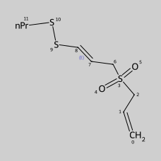 C=CCS(=O)(=O)C/C=C/SSCCC